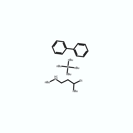 CCCC[B-](CCCC)(CCCC)CCCC.CCCC[NH2+]CCC(CC)CCCC.c1ccc(-c2ccccc2)cc1